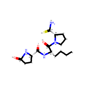 CCCC[C@H](NC(=O)[C@@H]1CCC(=O)N1)C(=O)N1CCC[C@H]1C(N)=S